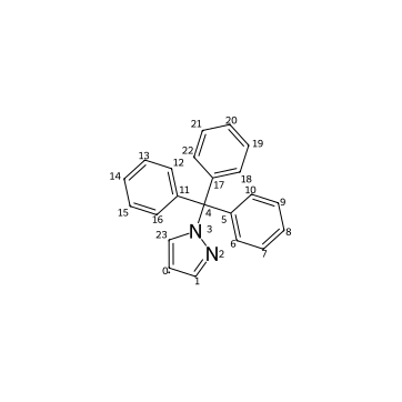 [c]1cnn(C(c2ccccc2)(c2ccccc2)c2ccccc2)c1